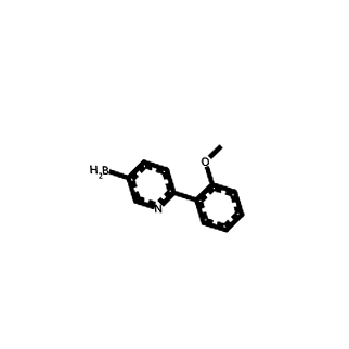 Bc1ccc(-c2ccccc2OC)nc1